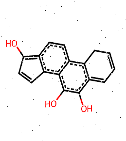 OC1=c2ccc3c4c(c(O)c(O)c3c2C=C1)=CC=CC4